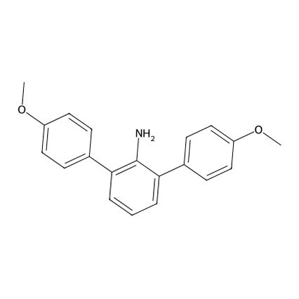 COc1ccc(-c2cccc(-c3ccc(OC)cc3)c2N)cc1